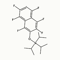 CC(C)[Si](Oc1c(F)c(F)c2c(F)[c]c(F)c(F)c2c1F)(C(C)C)C(C)C